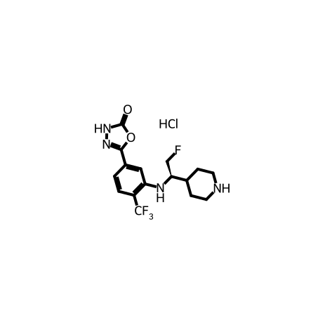 Cl.O=c1[nH]nc(-c2ccc(C(F)(F)F)c(N[C@@H](CF)C3CCNCC3)c2)o1